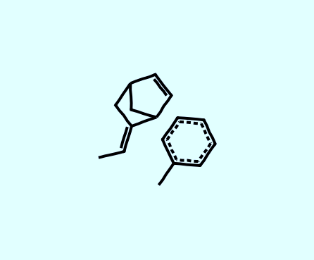 CC=C1CC2C=CC1C2.Cc1ccccc1